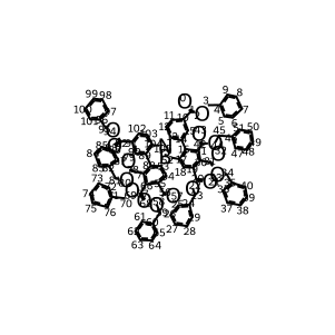 O=C(OCc1ccccc1)c1ccc2c(c1)-c1c(cc(C(=O)OCc3ccccc3)c(C(=O)OCc3ccccc3)c1C(=O)OCc1ccccc1)B1c3cc(C(=O)OCc4ccccc4)c(C(=O)OCc4ccccc4)c(C(=O)OCc4ccccc4)c3-c3cc(C(=O)OCc4ccccc4)ccc3N12